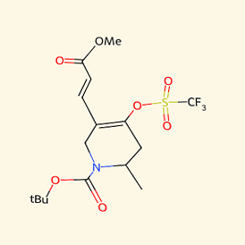 COC(=O)/C=C/C1=C(OS(=O)(=O)C(F)(F)F)CC(C)N(C(=O)OC(C)(C)C)C1